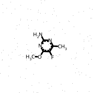 COc1nc(N)nc(C)c1F